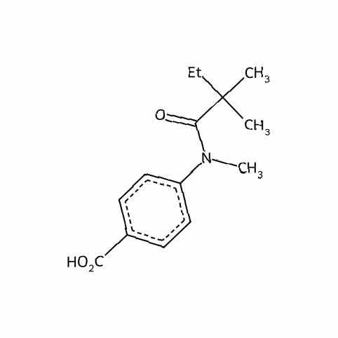 CCC(C)(C)C(=O)N(C)c1ccc(C(=O)O)cc1